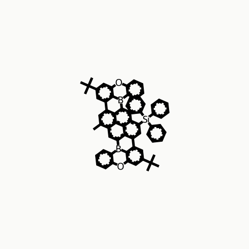 Cc1cc2c3c(cc4c([Si](c5ccccc5)(c5ccccc5)c5ccccc5)cc5c6c(cc1c3c46)B1c3ccccc3Oc3cc(C(C)(C)C)cc-5c31)B1c3ccccc3Oc3cc(C(C)(C)C)cc-2c31